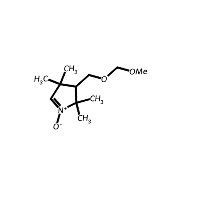 COCOCC1C(C)(C)C=[N+]([O-])C1(C)C